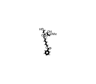 COCC(CO)OP(=O)(OCCO)SCCCCCOC(=O)c1ccccc1